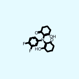 O=C1CCCC(O)=C1N(C1=C(O)CCCC1=O)c1ccc(F)c(F)c1